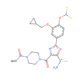 COC(=O)N1CCN(C(=O)c2nc(-c3ccc(OC(F)F)c(OCC4CC4)c3)oc2[C@H](C)N)CC1